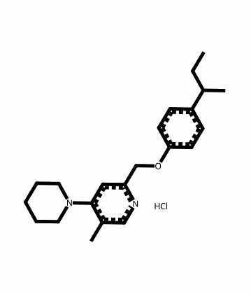 CCC(C)c1ccc(OCc2cc(N3CCCCC3)c(C)cn2)cc1.Cl